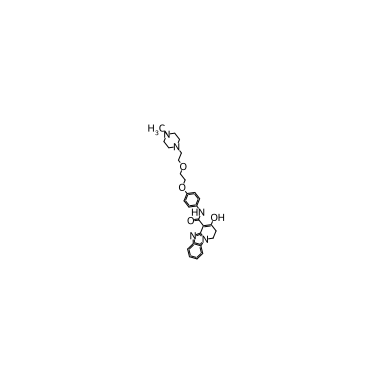 CN1CCN(CCOCCOc2ccc(NC(=O)C3=C(O)CCn4c3nc3ccccc34)cc2)CC1